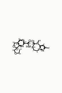 Cc1cc2n(n1)CC[C@H](NC(=O)c1ncc3c(n1)[C@]1(CCOC1)OC3)C(=O)N2C